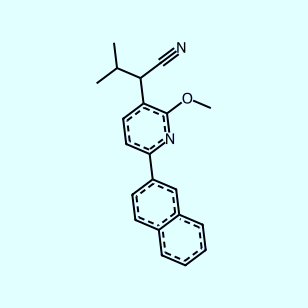 COc1nc(-c2ccc3ccccc3c2)ccc1C(C#N)C(C)C